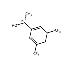 C[C@@H](O)C1=CC(C(F)(F)F)CC(C(F)(F)F)=C1